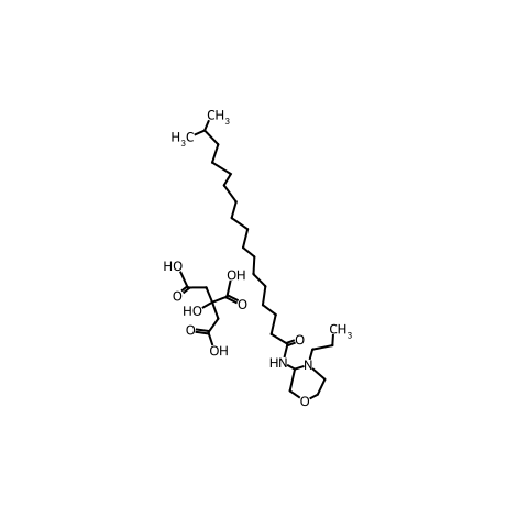 CCCN1CCOCC1NC(=O)CCCCCCCCCCCCCCC(C)C.O=C(O)CC(O)(CC(=O)O)C(=O)O